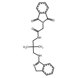 CC(C)(CNC(=O)CN1C(=O)c2ccccc2C1=O)CNC1=NCc2ccccc21